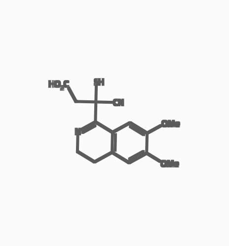 COc1cc2c(cc1OC)C(C(S)(C#N)CC(=O)O)=NCC2